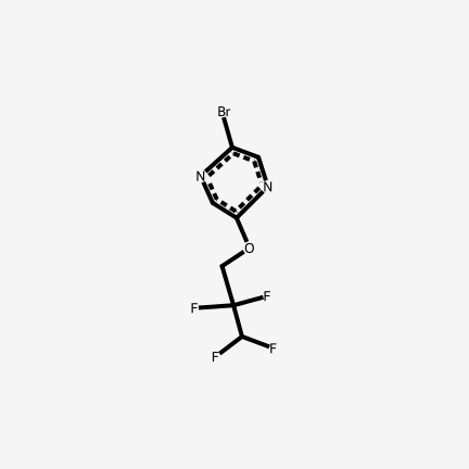 FC(F)C(F)(F)COc1cnc(Br)cn1